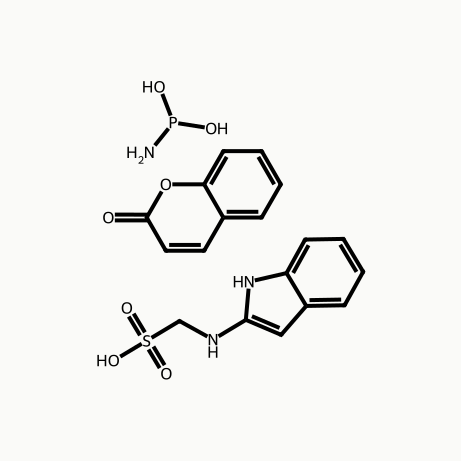 NP(O)O.O=S(=O)(O)CNc1cc2ccccc2[nH]1.O=c1ccc2ccccc2o1